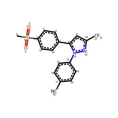 CS(=O)(=O)c1ccc(-c2cc(C(F)(F)F)nn2-c2ccc(C#N)cc2)cc1